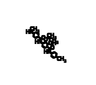 CNc1ccc(C(=O)Nc2ccc(C(=O)Nc3ccc(C)cc3)c(O)c2OC(C)C)cc1